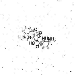 Nc1cccc(C(=O)c2c(N)c(O)c(C(=O)c3cccc(N)c3)c(N)c2O)c1